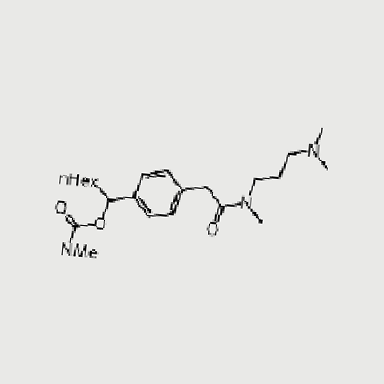 CCCCCCC(OC(=O)NC)c1ccc(CC(=O)N(C)CCCN(C)C)cc1